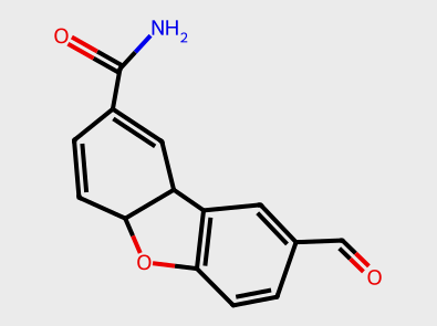 NC(=O)C1=CC2c3cc(C=O)ccc3OC2C=C1